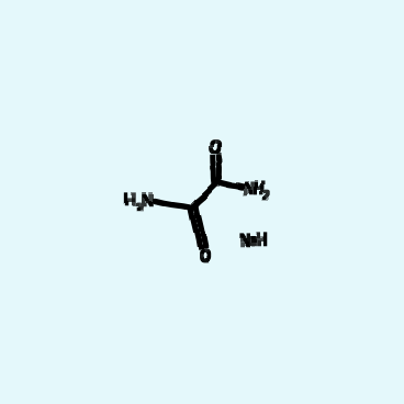 NC(=O)C(N)=O.[NaH]